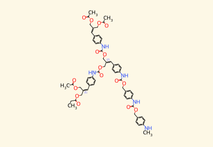 CCC(=O)OC/C(=C/c1ccc(NC(=O)OC/C(=C\c2ccc(NC(=O)OCc3ccc(NC(=O)OCc4ccc(NC)cc4)cc3)cc2)COC(=O)Nc2ccc(C=C(COC(C)=O)COC(C)=O)cc2)cc1)COC(C)=O